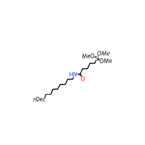 CCCCCCCCCCCCCCCCCCNC(=O)CCCC[Si](OC)(OC)OC